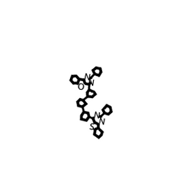 c1ccc(-c2nc(-c3cccc(-c4cccc(-c5cccc(-c6nc(-c7ccccc7)nc7c6sc6ccccc67)c5)c4)c3)c3oc4ccccc4c3n2)cc1